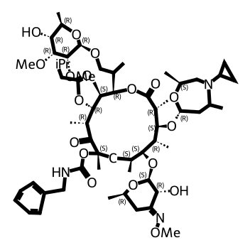 CON=C1C[C@@H](C)O[C@@H](O[C@@H]2[C@@H](C)[C@H](O[C@H]3CC(C)N(C4CC4)C[C@H](C)O3)[C@@H](C)C(=O)O[C@H](C(C)CO[C@@H]3O[C@H](C)[C@@H](O)[C@@H](OC)[C@H]3OC)[C@H](C)[C@@H](OC(=O)CC(C)C)[C@@H](C)C(=O)[C@@](C)(OC(=O)NCc3ccccc3)C[C@@H]2C)[C@@H]1O